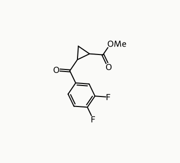 COC(=O)C1CC1C(=O)c1ccc(F)c(F)c1